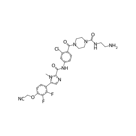 Cn1c(-c2ccc(OCC#N)c(F)c2F)cnc1C(=O)Nc1ccc(C(=O)N2CCN(C(=O)NCCN)CC2)c(Cl)c1